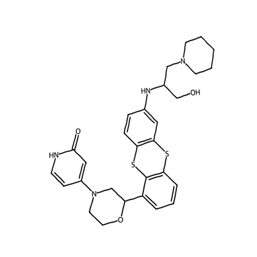 O=c1cc(N2CCOC(c3cccc4c3Sc3ccc(NC(CO)CN5CCCCC5)cc3S4)C2)cc[nH]1